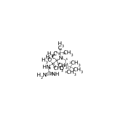 CC(C)(C)C(=O)CN(C(C)(C)C)C(C)(C)C(C)(C)NC(=N)N